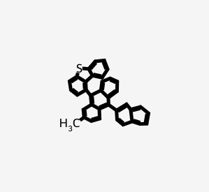 Cc1ccc2c(-c3ccc4ccccc4c3)c3ccccc3c(-c3cccc4sc5ccccc5c34)c2c1